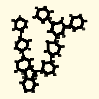 c1ccc(-c2ccc(-c3ccc4c5ccccc5n(-c5cccc(-c6ccc(-c7nc(-c8ccccc8)nc(-c8ccccc8)n7)cc6)c5)c4c3)cc2)cc1